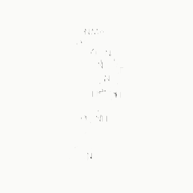 CNC(=O)COc1ncc(F)c(N2C[C@@H]3C(CCNC(=O)/C=C/c4cccnc4)[C@@H]3C2)n1